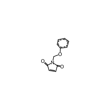 O=C1C=CC(=O)N1COc1ccccc1